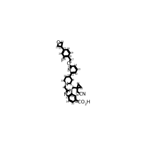 N#CCC1(Cn2c(CN3CCC(c4cccc(OCc5ccc(C6COC6)cc5F)n4)CC3)nc3ccc(C(=O)O)cc32)CC1